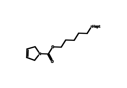 CCCCCCCCCCCCOC(=O)N1CC=CC1